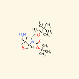 CC(C)(C)OC(=O)N1[C@@H]2COC[C@@H]2C(N)[C@@H]1CO[Si](C)(C)C(C)(C)C